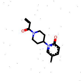 C=CC(=O)N1CCC(n2cc(C)ccc2=O)CC1